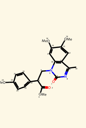 COC(=O)C(Cn1c(=O)nc(C)c2cc(OC)c(OC)cc21)c1ccc(OC)cc1